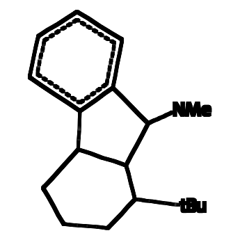 CNC1c2ccccc2C2CCCC(C(C)(C)C)C21